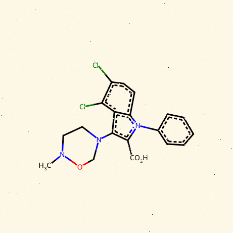 CN1CCN(c2c(C(=O)O)n(-c3ccccc3)c3ccc(Cl)c(Cl)c23)CO1